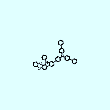 c1ccc(-c2ccc(N(c3ccc(-c4ccccc4)cc3)c3ccc(-c4ccc5c6ccc7c(c6n(-c6ccccc6)c5c4)Oc4ccccc4O7)cc3)cc2)cc1